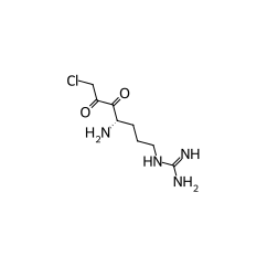 N=C(N)NCCC[C@H](N)C(=O)C(=O)CCl